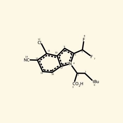 CC(C)(C)CC(C(=O)O)n1c(C(F)F)cc2c(Cl)c(C#N)ccc21